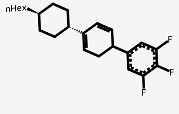 CCCCCC[C@H]1CC[C@H](C2=CCC(c3cc(F)c(F)c(F)c3)C=C2)CC1